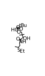 CCSC(C)CCNC(=O)C(O)C(C)(C)COP(=O)(O)OC(C)(C)C